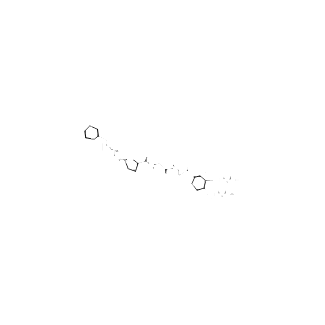 COc1ccc(C(CNC(=O)CNC(=O)c2ccc(NC(=O)NCc3ccccc3)s2)C(=O)O)cc1OC